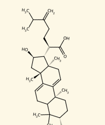 C=C(CC[C@@H](C(=O)O)[C@H]1[C@H](O)C[C@@]2(C)C3=CCC4C(C)(C)[C@@H](O)CC[C@]4(C)C3=CC[C@]12C)C(C)C